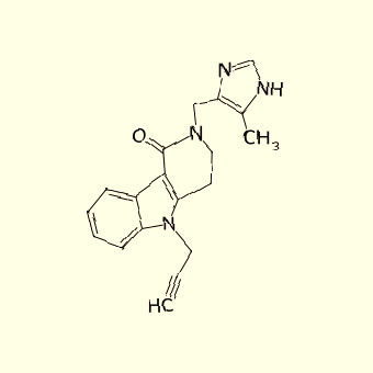 C#CCn1c2c(c3ccccc31)C(=O)N(Cc1nc[nH]c1C)CC2